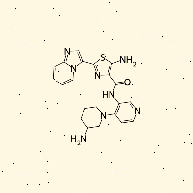 Nc1sc(-c2cnc3ccccn23)nc1C(=O)Nc1cnccc1N1CCCC(N)C1